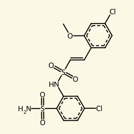 COc1cc(Cl)ccc1C=CS(=O)(=O)Nc1cc(Cl)ccc1S(N)(=O)=O